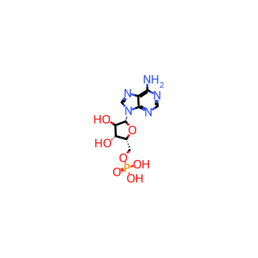 Nc1ncnc2c1ncn2[C@@H]1O[C@H](COP(=O)(O)O)[C@H](O)C1O